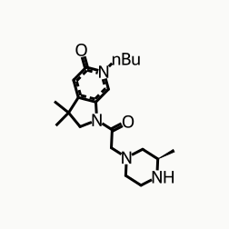 CCCCn1cc2c(cc1=O)C(C)(C)CN2C(=O)CN1CCN[C@H](C)C1